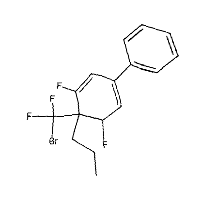 CCCC1(C(F)(F)Br)C(F)=CC(c2ccccc2)=CC1F